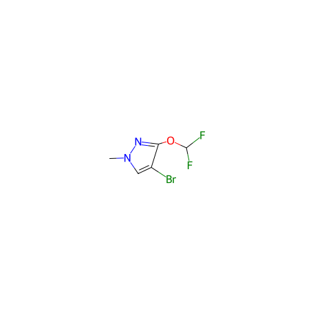 Cn1cc(Br)c(OC(F)F)n1